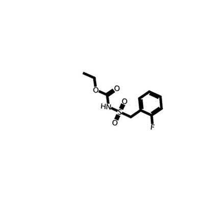 CCOC(=O)NS(=O)(=O)Cc1ccccc1F